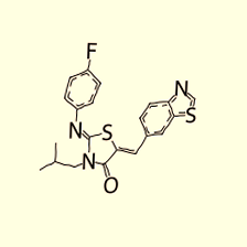 CC(C)CN1C(=O)C(=Cc2ccc3ncsc3c2)SC1=Nc1ccc(F)cc1